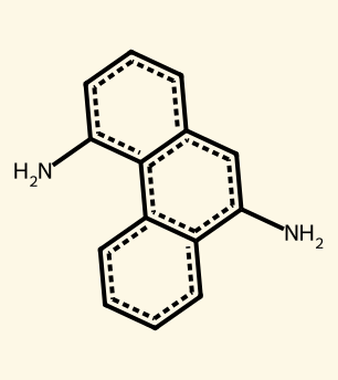 Nc1cc2cccc(N)c2c2ccccc12